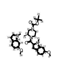 COc1ccc2cc(C(=O)N3CCN(C(=O)OC(C)(C)C)C[C@@H]3C)n(C)c2c1.COc1ccc2ccn(C)c2c1